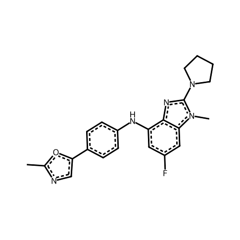 Cc1ncc(-c2ccc(Nc3cc(F)cc4c3nc(N3CCCC3)n4C)cc2)o1